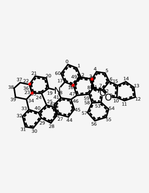 c1cc(-c2ccc3c(c2)oc2ccccc23)cc(N(c2ccccc2-c2cccc3cccc(C4CCCCC4)c23)c2ccccc2-c2cccc3oc4ccccc4c23)c1